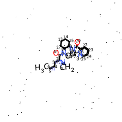 C=N/C(=C\C=C/C)C(=O)N(C)[C@H]1CCCC[C@H]1N(C)C(=O)c1ccccn1